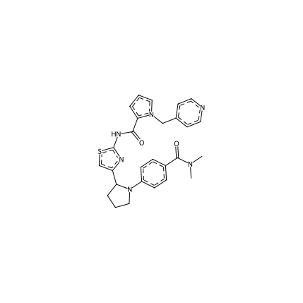 CN(C)C(=O)c1ccc(N2CCCC2c2csc(NC(=O)c3cccn3Cc3ccncc3)n2)cc1